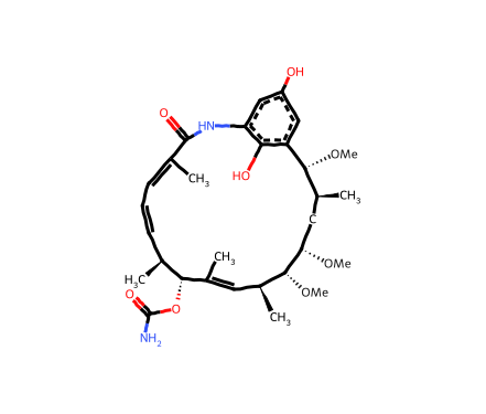 CO[C@H]1[C@@H](OC)C[C@H](C)[C@@H](OC)c2cc(O)cc(c2O)NC(=O)/C(C)=C/C=C\[C@H](C)[C@@H](OC(N)=O)/C(C)=C/[C@@H]1C